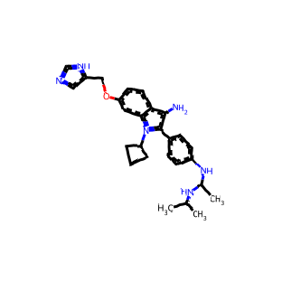 CC(C)NC(C)Nc1ccc(-c2c(N)c3ccc(OCc4cnc[nH]4)cc3n2C2CCC2)cc1